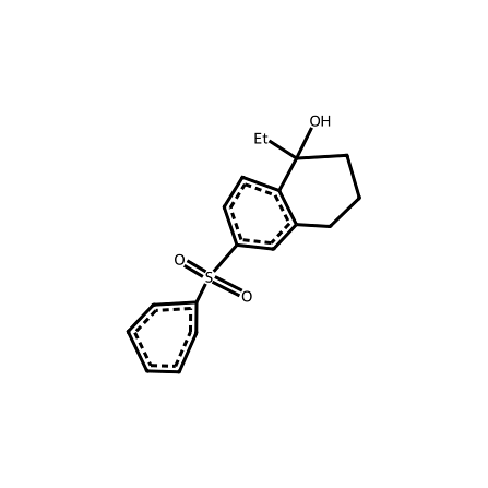 CCC1(O)CCCc2cc(S(=O)(=O)c3ccccc3)ccc21